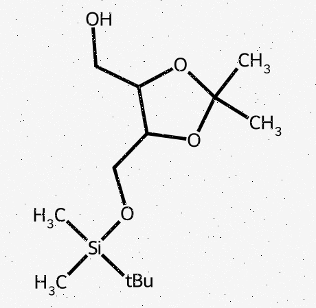 CC1(C)OC(CO)C(CO[Si](C)(C)C(C)(C)C)O1